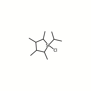 CC1C(C)C(C)[Si](Cl)(C(C)C)C1C